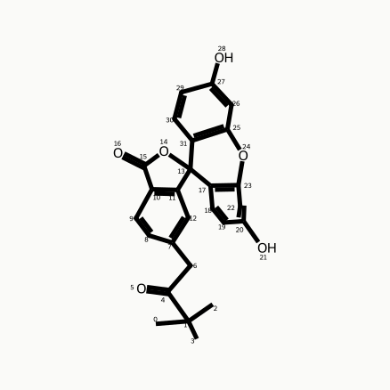 CC(C)(C)C(=O)Cc1ccc2c(c1)C1(OC2=O)c2ccc(O)cc2Oc2cc(O)ccc21